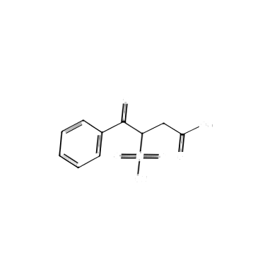 O=C(O)CC(C(=O)c1ccccc1)S(=O)(=O)O